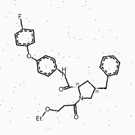 CCOCCC(=O)N1C[C@H](Cc2ccccc2)C[C@H]1C(=O)Nc1ccc(Oc2ccc(F)cc2)cc1